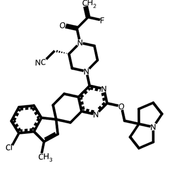 C=C(F)C(=O)N1CCN(c2nc(OCC34CCCN3CCC4)nc3c2CCC2(C=C(C)c4c(Cl)cccc42)C3)C[C@@H]1CC#N